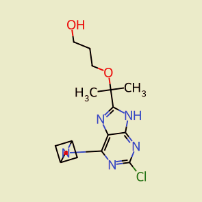 CC(C)(OCCCO)c1nc2c(N3CC4CC3C4)nc(Cl)nc2[nH]1